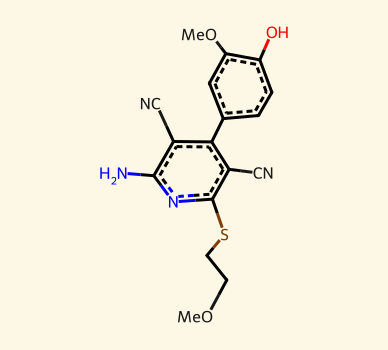 COCCSc1nc(N)c(C#N)c(-c2ccc(O)c(OC)c2)c1C#N